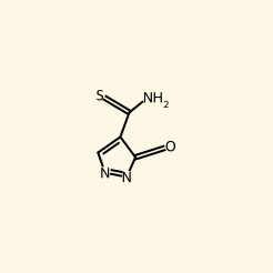 NC(=S)C1=CN=NC1=O